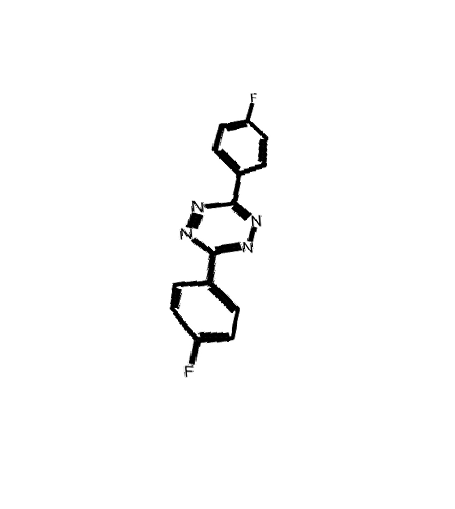 Fc1ccc(-c2nnc(-c3ccc(F)cc3)nn2)cc1